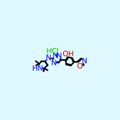 CN(c1ncc(-c2ccc(-c3cnco3)cc2O)nn1)C1CC(C)(C)NC(C)(C)C1.Cl